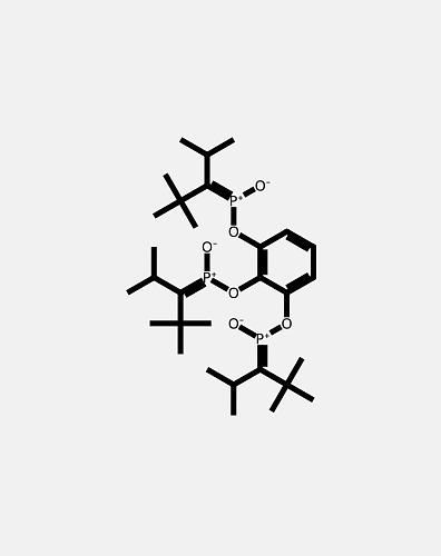 CC(C)C(=[P+]([O-])Oc1cccc(O[P+]([O-])=C(C(C)C)C(C)(C)C)c1O[P+]([O-])=C(C(C)C)C(C)(C)C)C(C)(C)C